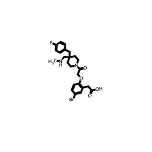 CNCC1(Cc2ccc(F)cc2)CCN(C(=O)COc2ccc(Br)cc2CC(=O)O)CC1